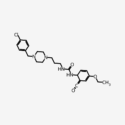 CCOC1=CC(=C=O)C(NC(=O)NCCCN2CCN(Cc3ccc(Cl)cc3)CC2)C=C1